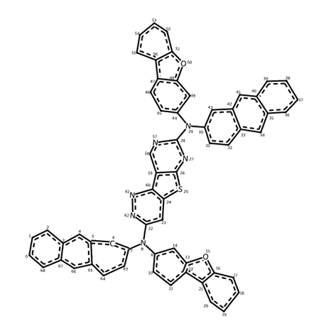 c1ccc2cc3cc(N(c4ccc5c(c4)oc4ccccc45)c4cc5sc6nc(N(c7ccc8cc9ccccc9cc8c7)c7ccc8c(c7)oc7ccccc78)ncc6c5nn4)ccc3cc2c1